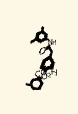 Cc1cc(C)cc(NC(=O)Cc2ccc(OC3(C(=O)O)CCCC(C)C3)cc2)c1